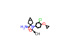 C#CC(=O)N(c1ccc(OC2CC2)c(Cl)c1)C1(C(N)=O)CC2CC2C1